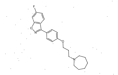 Fc1ccc2c(-c3ccc(OCCCN4CCCCCC4)cc3)noc2c1